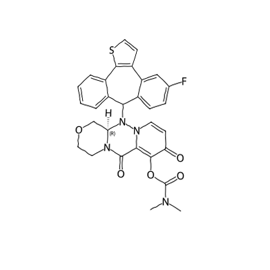 CN(C)C(=O)Oc1c2n(ccc1=O)N(C1c3ccc(F)cc3-c3ccsc3-c3ccccc31)[C@@H]1COCCN1C2=O